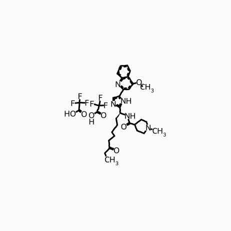 CCC(=O)CCCCC[C@H](NC(=O)C1CCN(C)CC1)c1ncc(-c2cc(OC)c3ccccc3n2)[nH]1.O=C(O)C(F)(F)F.O=C(O)C(F)(F)F